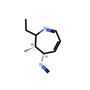 C=N[C@H]1C=CC=NC(CC)[C@H]1C